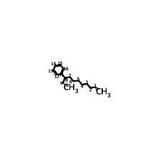 CCCCCCCCC(CC)c1[c]cccc1